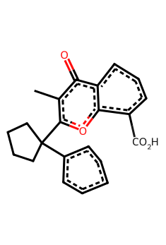 Cc1c(C2(c3ccccc3)CCCC2)oc2c(C(=O)O)cccc2c1=O